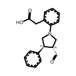 O=C[C@H]1CN(c2ccccc2CC(=O)O)C[C@@H]1c1ccccc1